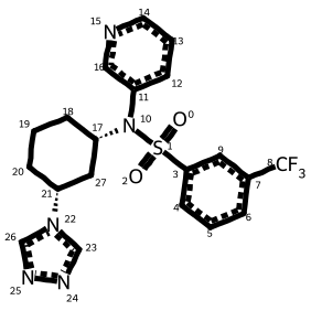 O=S(=O)(c1cccc(C(F)(F)F)c1)N(c1cccnc1)[C@H]1CCC[C@@H](n2cnnc2)C1